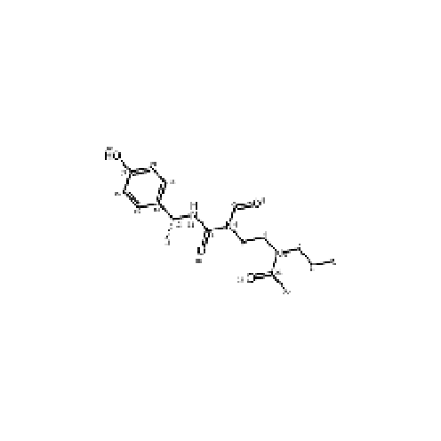 CCCN(CCN(C=O)C(=O)N[C@H](C)c1ccc(O)cc1)C(C)=O